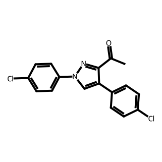 CC(=O)c1nn(-c2ccc(Cl)cc2)cc1-c1ccc(Cl)cc1